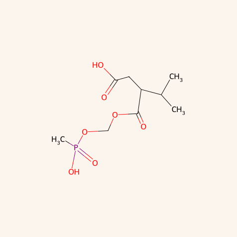 CC(C)C(CC(=O)O)C(=O)OCOP(C)(=O)O